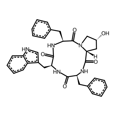 O=C1N[C@@H](Cc2ccccc2)C(=O)N2C[C@H](O)C[C@@H]2C(=O)N[C@@H](Cc2ccccc2)C(=O)N[C@H]1Cc1c[nH]c2ccccc12